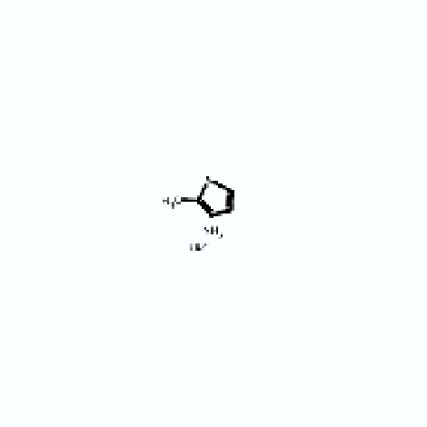 Br.Cc1cccs1.N